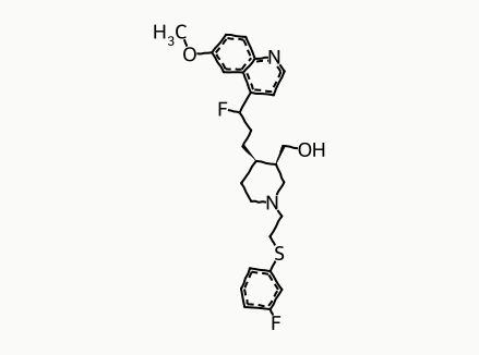 COc1ccc2nccc(C(F)CC[C@@H]3CCN(CCSc4cccc(F)c4)C[C@@H]3CO)c2c1